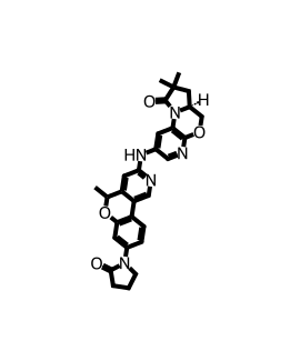 CC1Oc2cc(N3CCCC3=O)ccc2-c2cnc(Nc3cnc4c(c3)N3C(=O)C(C)(C)C[C@H]3CO4)cc21